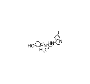 CCC(CNCc1ccc(O)cc1)CNc1ccnc2cc(I)ccc12